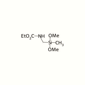 CCOC(=O)NC[Si](C)(OC)OC